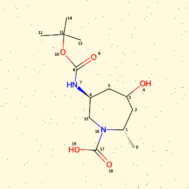 C[C@H]1CC(O)C[C@H](NC(=O)OC(C)(C)C)CN1C(=O)O